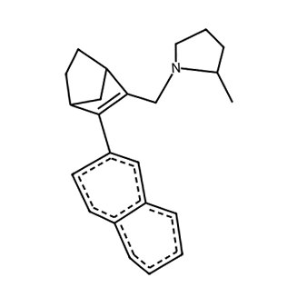 CC1CCCN1CC1=C(c2ccc3ccccc3c2)C2CCC1C2